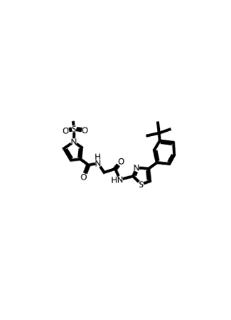 CC(C)(C)c1cccc(-c2csc(NC(=O)CNC(=O)c3ccn(S(C)(=O)=O)c3)n2)c1